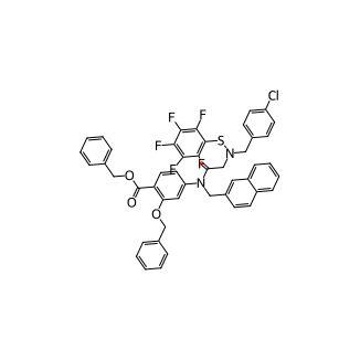 C=C(CN(Cc1ccc(Cl)cc1)Sc1c(F)c(F)c(F)c(F)c1F)N(Cc1ccc2ccccc2c1)c1ccc(C(=O)OCc2ccccc2)c(OCc2ccccc2)c1